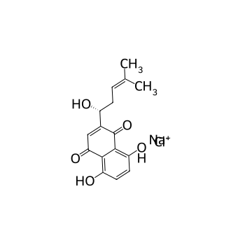 CC(C)=CC[C@@H](O)C1=CC(=O)c2c(O)ccc(O)c2C1=O.[Cl-].[Na+]